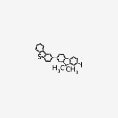 CC1(C)c2cc(I)ccc2-c2ccc(-c3ccc4sc5ccccc5c4c3)cc21